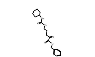 O=C(NCCCC(=O)C(=O)OCc1ccccc1)NC1CCCCC1